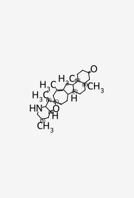 CC1=C2CC3[C@@H](CC[C@]4(C)CC(=O)CC[C@]34C)C2CC[C@@]2(C1)O[C@@H]1C[C@H](C)CNC1[C@H]2C